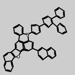 c1ccc(-c2ccc(-c3ccc(N(c4cccc(-c5ccc6ccccc6c5)c4)c4ccccc4-c4ccc5oc6c7ccccc7ccc6c5c4)cc3)cc2-c2ccccc2)cc1